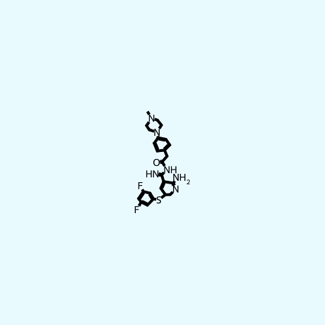 CN1CCN(c2ccc(CC(=O)NC(=N)C3=CC(Sc4cc(F)cc(F)c4)CN=C3N)cc2)CC1